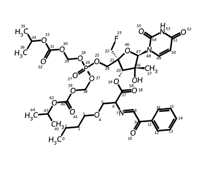 CCCCOCC(N=CC(=O)c1ccccc1)C(=O)O[C@@H]1[C@@](CF)(COP(=O)(OCOC(=O)OC(C)C)OCOC(=O)OC(C)C)O[C@@H](n2ccc(=O)[nH]c2=O)[C@]1(C)O